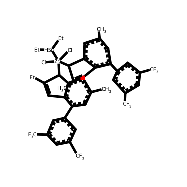 CCC1=Cc2c(-c3cc(C(F)(F)F)cc(C(F)(F)F)c3)cc(C)cc2[CH]1[Zr]([Cl])([Cl])([CH]1C(C)=Cc2c(-c3cc(C(F)(F)F)cc(C(F)(F)F)c3)cc(C)cc21)[SiH](CC)CC